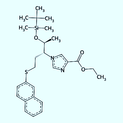 CCOC(=O)c1cn([C@H](CCSc2ccc3ccccc3c2)[C@H](C)O[Si](C)(C)C(C)(C)C)cn1